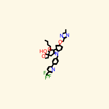 CCCCC(=O)c1c(CC(CC)(CC)C(=O)O)n(Cc2ccc(-c3ccc(C(F)(F)F)cn3)cc2)c2ccc(OCc3cnc(C)cn3)cc12